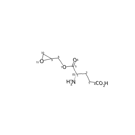 N[C@@H](CCC(=O)O)C(=O)OCC1CO1